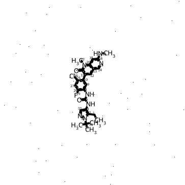 CCc1c(NC(=O)Nc2cc(-c3cc4cnc(NC)cc4n(C)c3=O)c(Cl)cc2F)cnn1C(C)(C)C